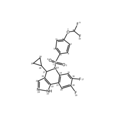 O=S(=O)(c1ccc(OC(F)F)cc1)N1c2cc(F)c(F)cc2-c2[nH]ncc2C1C1CC1